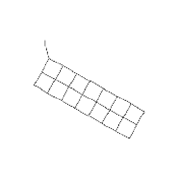 IC1C2CC3C4C5C6C7C8CC9CC%10C%11C%12C%13C%14C1C23C4%14C5%13C6%12C7%11C98%10